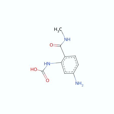 CNC(=O)c1ccc(N)cc1NC(=O)O